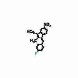 C#CC1=C(C)C(=Cc2ccc(F)cc2)c2ccc([N+](=O)[O-])cc21